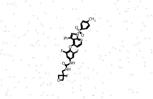 Cc1ccc(S(=O)(=O)n2cc(C(C)C)c3c(Oc4c(F)cc(NC(=O)NCC5(F)COC5)cc4F)ccnc32)cc1